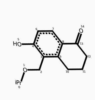 CC(C)OCc1c(O)ccc2c1CCCC2=O